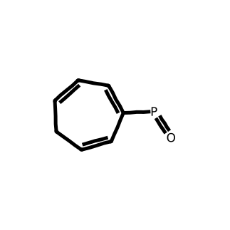 O=PC1=CC=CCC=C1